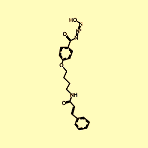 O=C(/C=C/c1ccccc1)NCCCCOc1ccc(C(=O)N=[N+]=NO)cc1